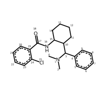 CN(C)C(c1ccccc1)C1CCCCC1NC(=O)c1ccccc1Cl